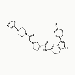 O=C(Nc1ccc2[nH]nc(-c3ccc(F)cc3)c2c1)[C@@H]1CCN(CC(=O)N2CCN(c3nccs3)CC2)C1